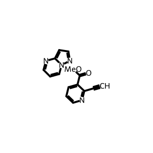 C#Cc1ncccc1C(=O)OC.c1cnc2ccnn2c1